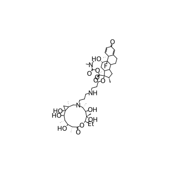 CC[C@H]1OC(=O)[C@H](C)[C@@H](O)[C@H](C)[C@@H](O)[C@]2(O)C[C@@]2(C)CN(CCCNCCC(=O)O[C@]2(C(=O)OC(=O)N(C)C)[C@H](C)CC3C4CCC5=CC(=O)C=C[C@]5(C)[C@@]4(F)[C@@H](O)C[C@@]32C)[C@H](C)[C@@H](O)[C@]1(C)O